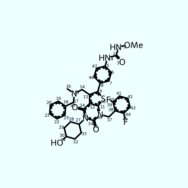 CONC(=O)Nc1ccc(-c2sc3c(c2CN(C)Cc2ccccc2)c(=O)n(C2CCC(O)CC2)c(=O)n3Cc2c(F)cccc2F)cc1